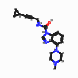 CN1CCN(c2cccc3c2ncn3C(=O)NCC#CC2CC2)CC1